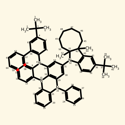 CC(C)(C)c1ccc(N2c3ccccc3B3c4ccccc4N(c4ccccc4)c4cc(N5c6ccc(C(C)(C)C)cc6C6(C)CCCCCCC56C)cc2c43)c(-c2ccccc2)c1